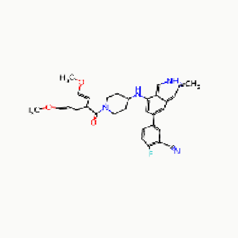 C=C/C=c1/cc(-c2ccc(F)c(C#N)c2)cc(NC2CCN(C(=O)C(/C=C/OC)C/C=C/OC)CC2)/c1=C/N